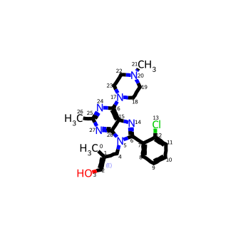 C/C(=C\O)Cn1c(-c2ccccc2Cl)nc2c(N3CCN(C)CC3)nc(C)nc21